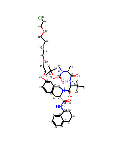 C[C@@H](C(=O)NC(C(=O)N1Cc2cc(OCCOCCOCCOCCCl)ccc2C[C@H]1C(=O)N[C@H]1CCCc2ccccc21)C(C)(C)C)N(C)C(=O)OC(C)(C)C